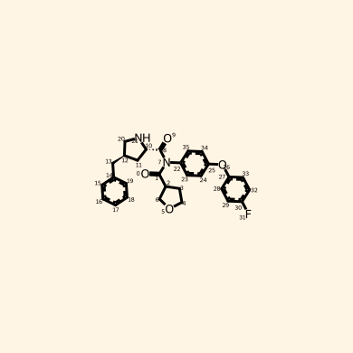 O=C(C1CCOC1)N(C(=O)[C@@H]1C[C@@H](Cc2ccccc2)CN1)c1ccc(Oc2ccc(F)cc2)cc1